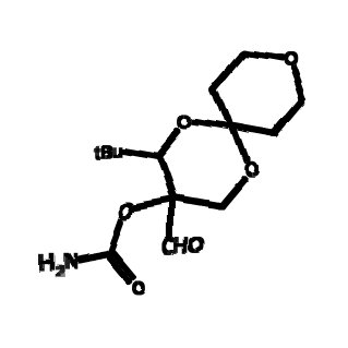 CC(C)(C)C1OC2(CCOCC2)OCC1(C=O)OC(N)=O